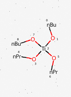 CCCC[O][Ti]([O]CCC)([O]CCC)[O]CCCC